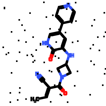 C/C=C(\C#N)C(=O)N1CC(Nc2cc(-c3ccncc3)c[nH]c2=O)C1